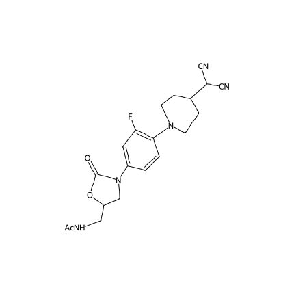 CC(=O)NCC1CN(c2ccc(N3CCC(C(C#N)C#N)CC3)c(F)c2)C(=O)O1